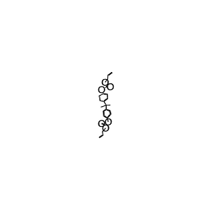 C=CCOC(=O)OC1=CC=C(C(C)(C)c2ccc(OC(=O)OCC=C)cc2)CC1